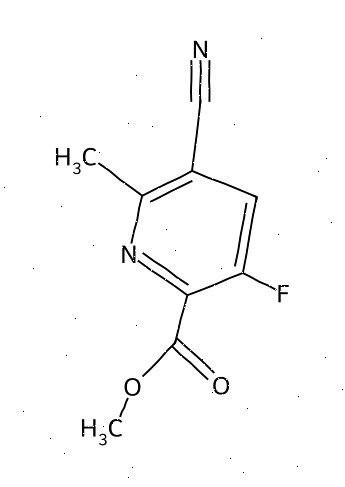 COC(=O)c1nc(C)c(C#N)cc1F